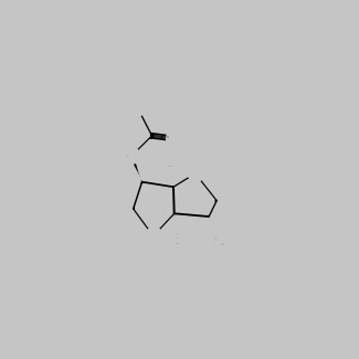 CCC(=O)O[C@@H]1CO[C@H]2[C@@H]1OC[C@@H]2O